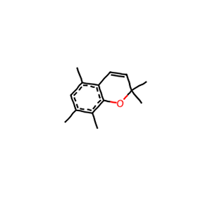 Cc1cc(C)c2c(c1C)OC(C)(C)C=C2